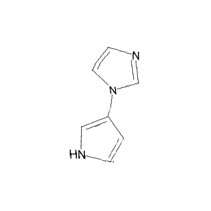 [c]1cc(-n2ccnc2)c[nH]1